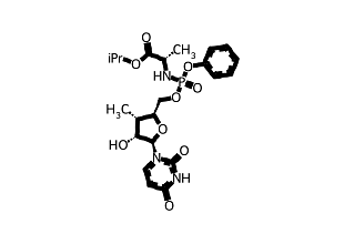 CC(C)OC(=O)[C@H](C)NP(=O)(OC[C@H]1O[C@@H](n2ccc(=O)[nH]c2=O)[C@H](O)[C@@H]1C)Oc1ccccc1